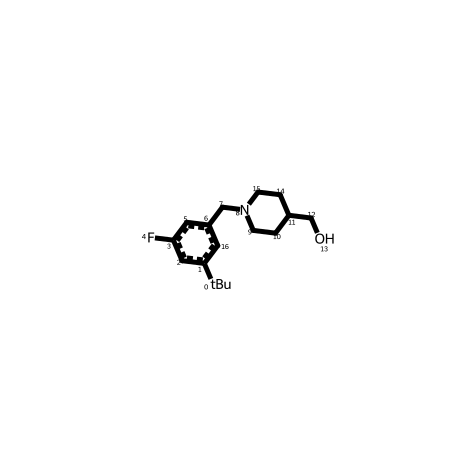 CC(C)(C)c1cc(F)cc(CN2CCC(CO)CC2)c1